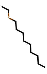 C[CH]SCCCCCCCCC